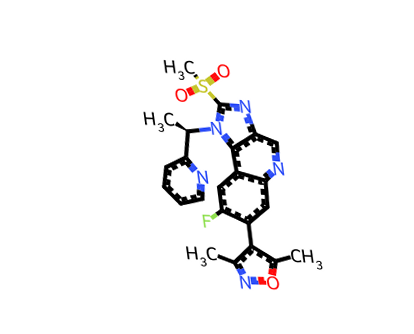 Cc1noc(C)c1-c1cc2ncc3nc(S(C)(=O)=O)n([C@H](C)c4ccccn4)c3c2cc1F